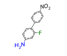 Nc1ccc(-c2ccc([N+](=O)[O-])cc2)c(F)c1